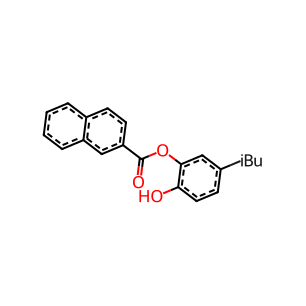 CCC(C)c1ccc(O)c(OC(=O)c2ccc3ccccc3c2)c1